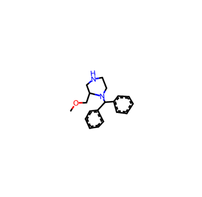 COCC1CNCCN1C(c1ccccc1)c1ccccc1